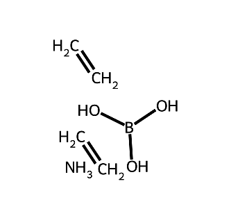 C=C.C=C.N.OB(O)O